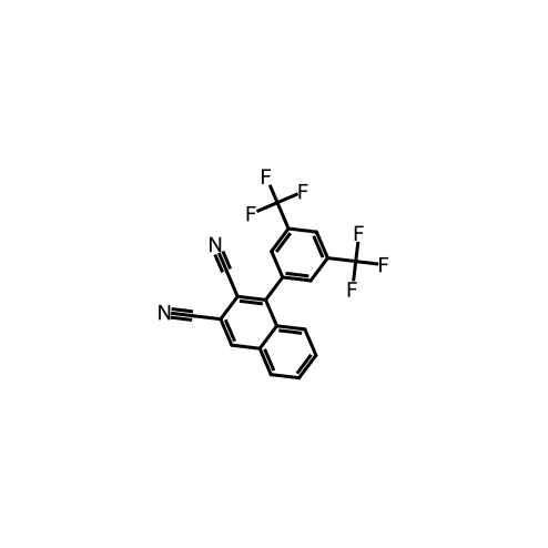 N#Cc1cc2ccccc2c(-c2cc(C(F)(F)F)cc(C(F)(F)F)c2)c1C#N